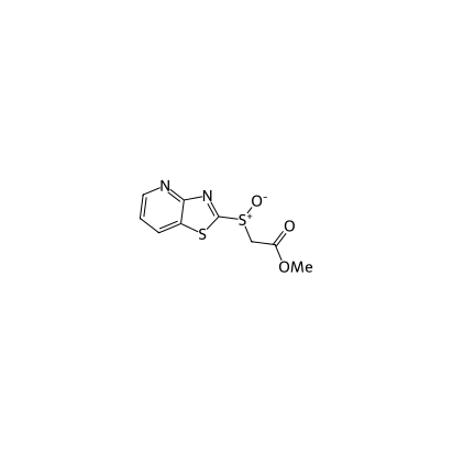 COC(=O)C[S+]([O-])c1nc2ncccc2s1